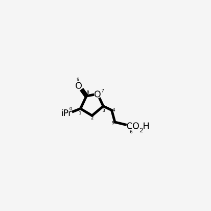 CC(C)C1CC(CCC(=O)O)OC1=O